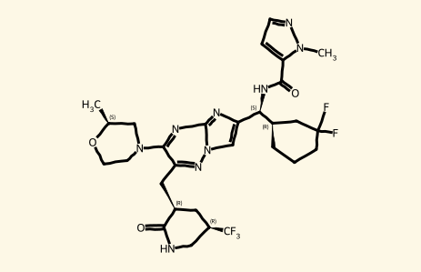 C[C@H]1CN(c2nc3nc([C@@H](NC(=O)c4ccnn4C)[C@@H]4CCCC(F)(F)C4)cn3nc2C[C@H]2C[C@@H](C(F)(F)F)CNC2=O)CCO1